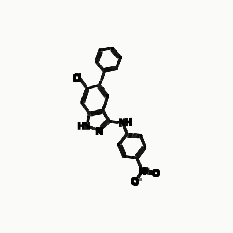 O=[N+]([O-])c1ccc(Nc2n[nH]c3cc(Cl)c(-c4ccccc4)cc23)cc1